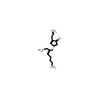 C=CCC1=C[C@@H](C/C(=C\CCCC)CC)CC1=O